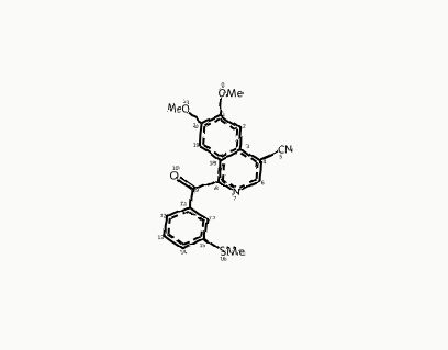 COc1cc2c(C#N)cnc(C(=O)c3cccc(SC)c3)c2cc1OC